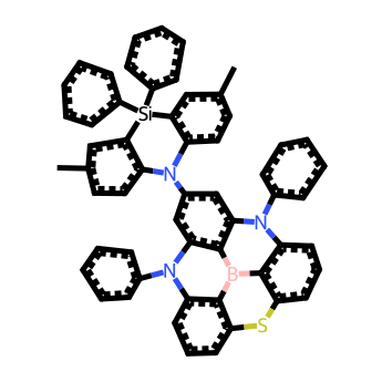 Cc1ccc2c(c1)[Si](c1ccccc1)(c1ccccc1)c1cc(C)ccc1N2c1cc2c3c(c1)N(c1ccccc1)c1cccc4c1B3c1c(cccc1N2c1ccccc1)S4